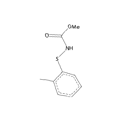 COC(=O)NSc1ccccc1C